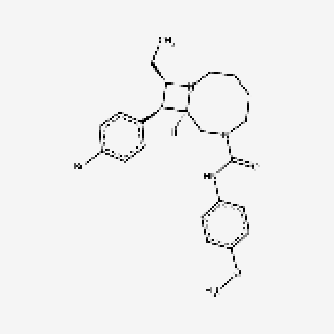 CC[C@@H]1[C@H](c2ccc(Br)cc2)[C@@H]2CN(C(=O)Nc3ccc(OC)cc3)CCCCN12